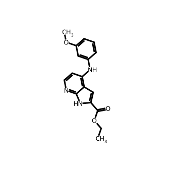 CCOC(=O)c1cc2c(Nc3cccc(OC)c3)ccnc2[nH]1